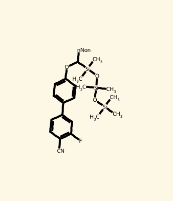 CCCCCCCCCC(Oc1ccc(-c2ccc(C#N)c(F)c2)cc1)[Si](C)(C)O[Si](C)(C)O[Si](C)(C)C